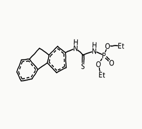 CCOP(=O)(NC(=S)Nc1ccc2c(c1)Cc1ccccc1-2)OCC